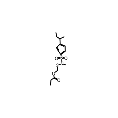 CCC(=O)OCSN(C)S(=O)(=O)c1ccc(C(C)CC)cc1